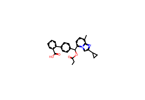 CCC(=O)OC(c1ccc(-c2ccccc2C(=O)O)cc1)c1ccc(C)c2nc(C3CC3)cn12